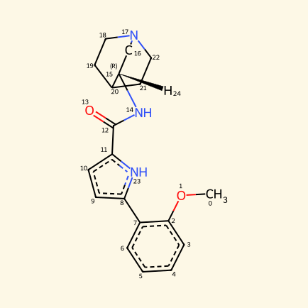 COc1ccccc1-c1ccc(C(=O)N[C@H]2CN3CCC2CC3)[nH]1